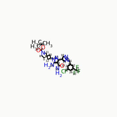 CC(C)(C)OC(=O)N1CC[C@]2(C1)C[C@H](n1nc(-c3cnn(Cc4cc(Cl)cc(C(F)(F)F)c4)c3)c(C(N)=O)c1N)C2